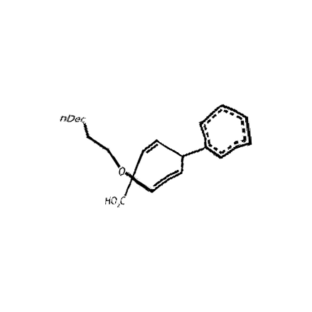 CCCCCCCCCCCCOC1(C(=O)O)C=CC(c2ccccc2)C=C1